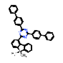 C[Si]1(C)c2ccccc2-c2c(-c3nc(-c4ccc(-c5ccccc5)cc4)nc(-c4ccc(-c5ccccc5)cc4)n3)cccc21